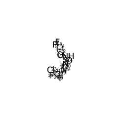 O=C(CC1CCC(F)(F)CC1)NCC(=O)N1CCN(Cc2cc(Cl)c(F)cc2F)CC1